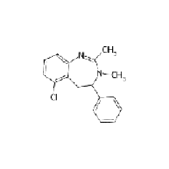 CC1=Nc2cccc(Cl)c2CC(c2ccccc2)N1C